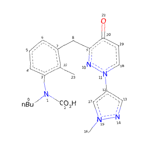 CCCCN(C(=O)O)c1cccc(Cc2nn(-c3cnn(C)c3)ccc2=O)c1C